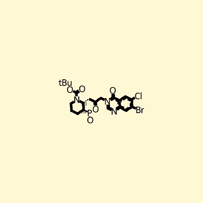 CC(C)(C)OC(=O)N1CCC[C@H](P=O)[C@H]1CC(=O)Cn1cnc2cc(Br)c(Cl)cc2c1=O